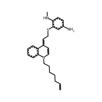 C=CCCCCCN1C=C/C(=C\CSc2cc(N)ccc2NC)c2ccccc21